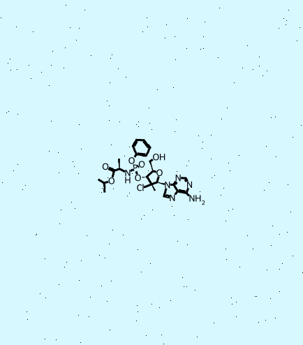 CC(C)OC(=O)[C@@H](C)NP(=O)(Oc1ccccc1)O[C@@H]1[C@@H](CO)O[C@@H](n2cnc3c(N)ncnc32)[C@]1(C)Cl